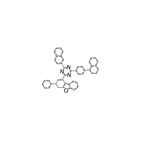 C1=C(c2nc(-c3ccc(-c4cccc5ccccc45)cc3)nc(-c3ccc4ccccc4c3)n2)c2c(oc3ccccc23)CC1c1ccccc1